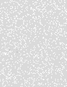 Oc1ccc2c(c1)OC[C@@H](N1CCC(c3ccccc3)CC1)[C@H]2O